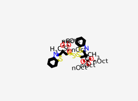 CCCCCCCCO[Si](OCCCCCCCC)(OCCCCCCCC)C(C)(CSSSCC(C)(c1nc2ccccc2s1)[Si](OCCCCCCCC)(OCCCCCCCC)OCCCCCCCC)c1nc2ccccc2s1